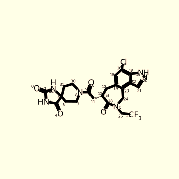 O=C1NC(=O)C2(CCN(C(=O)C[C@@H]3Cc4cc(Cl)c5[nH]ncc5c4CN(CC(F)(F)F)C3=O)CC2)N1